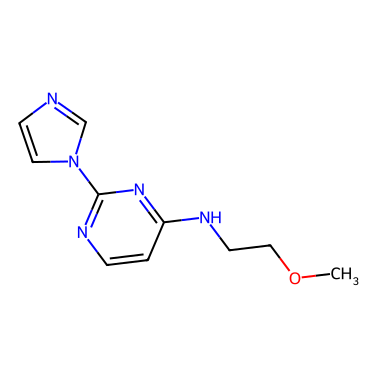 COCCNc1ccnc(-n2ccnc2)n1